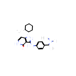 CN(C)[C@H](c1ccc(Nc2nn([C@H]3CCCC[C@@H]3C#N)c3cc[nH]c(=O)c23)cc1)C(F)(F)F